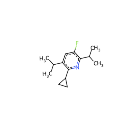 CC(C)c1cc(F)c(C(C)C)nc1C1CC1